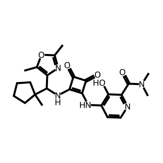 Cc1nc(C(Nc2c(Nc3ccnc(C(=O)N(C)C)c3O)c(=O)c2=O)C2(C)CCCC2)c(C)o1